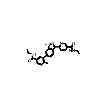 CCNC(=O)c1ccc(-c2n[nH]c3cc(-c4cc(C(=O)NCC)ccc4C)ccc23)nc1